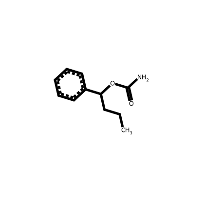 CCCC(OC(N)=O)c1ccccc1